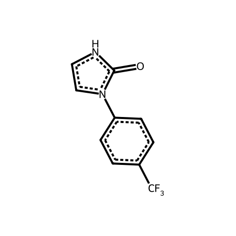 O=c1[nH]ccn1-c1ccc(C(F)(F)F)cc1